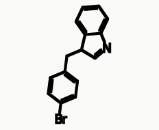 Brc1ccc(CC2C=Nc3ccccc32)cc1